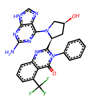 Nc1nc(N2C[C@@H](O)C[C@H]2c2nc3cccc(C(F)(F)F)c3c(=O)n2-c2ccccc2)c2nc[nH]c2n1